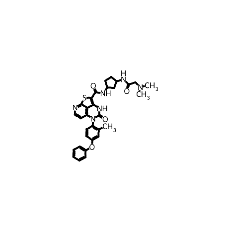 Cc1cc(Oc2ccccc2)ccc1N1C(=O)Nc2c(C(=O)NC3CCC(NC(=O)CN(C)C)C3)sc3nccc1c23